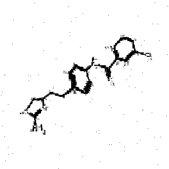 NC1=NC(CCc2ccc(NC(=O)c3cc(Cl)ccn3)cc2)CO1